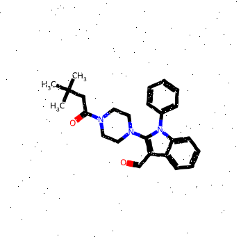 CC(C)(C)CC(=O)N1CCN(c2c(C=O)c3ccccc3n2-c2ccccc2)CC1